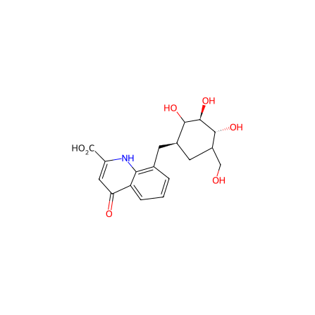 O=C(O)c1cc(=O)c2cccc(C[C@@H]3CC(CO)[C@@H](O)[C@H](O)C3O)c2[nH]1